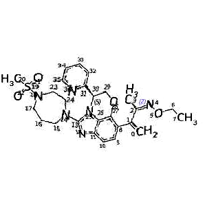 C=C(/C(C)=N\OCC)c1ccc2nc(N3CCCN(S(C)(=O)=O)CC3)n3c2c1OC[C@@H]3c1ccccn1